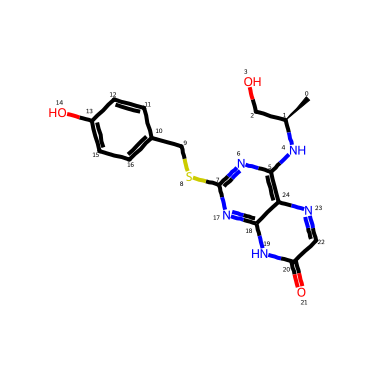 C[C@H](CO)Nc1nc(SCc2ccc(O)cc2)nc2[nH]c(=O)cnc12